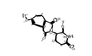 CCOc1ccc2c(c1)C(=O)N(C1CCC(=O)NC1=O)C2=O